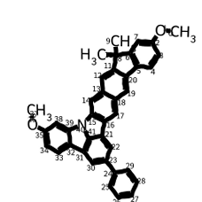 COc1ccc2c(c1)C(C)(C)c1cc3cc4c(cc3cc1-2)c1cc(-c2ccccc2)cc2c3ccc(OC)cc3n4c21